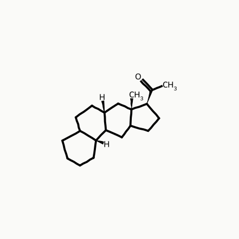 CC(=O)[C@H]1CCC2CC3[C@H](CCC4CCCC[C@H]43)C[C@@]21C